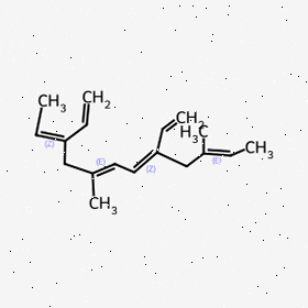 C=C/C(=C\C=C(/C)C/C(C=C)=C/C)C/C(C)=C/C